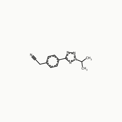 CC(C)n1nnc(-c2ccc(CC#N)cc2)n1